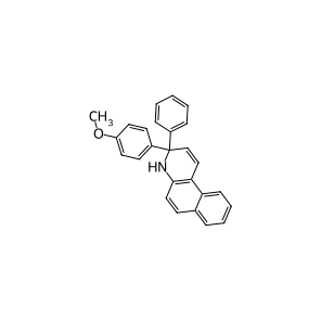 COc1ccc(C2(c3ccccc3)C=Cc3c(ccc4ccccc34)N2)cc1